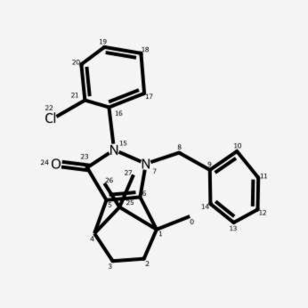 CC12CCC(c3c1n(Cc1ccccc1)n(-c1ccccc1Cl)c3=O)C2(C)C